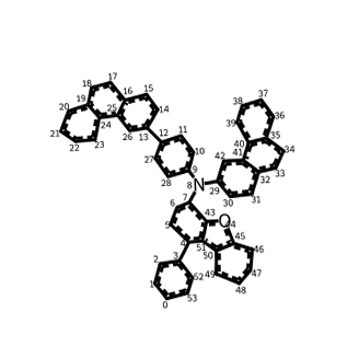 c1ccc(-c2ccc(N(c3ccc(-c4ccc5ccc6ccccc6c5c4)cc3)c3ccc4ccc5ccccc5c4c3)c3oc4ccccc4c23)cc1